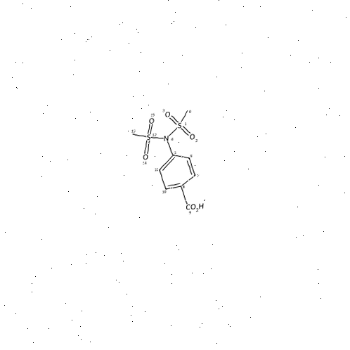 CS(=O)(=O)N(c1ccc(C(=O)O)cc1)S(C)(=O)=O